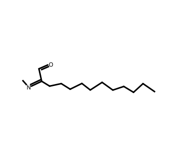 CCCCCCCCCCC/C(C=O)=N/C